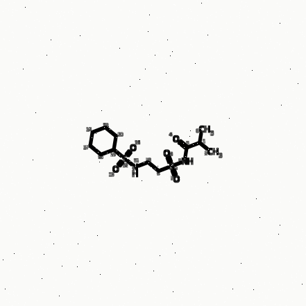 CC(C)C(=O)NS(=O)(=O)CCNS(=O)(=O)C1CCCCC1